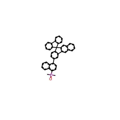 CP(C)(=O)c1ccc(-c2ccc3c(c2)-c2cc4ccccc4cc2C32c3ccccc3-c3ccccc32)c2ccccc12